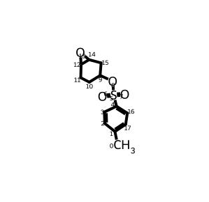 Cc1ccc(S(=O)(=O)OC2CCC3OC3C2)cc1